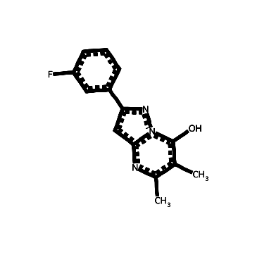 Cc1nc2cc(-c3cccc(F)c3)nn2c(O)c1C